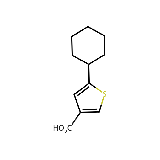 O=C(O)c1csc(C2CCCCC2)c1